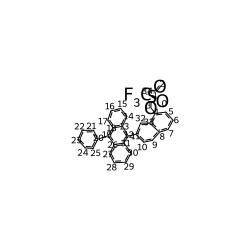 O=S(=O)(Oc1cccc2ccc(-c3c4ccccc4c(-c4ccccc4)c4ccccc34)cc12)C(F)(F)F